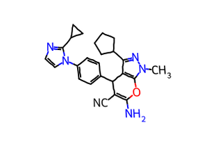 Cn1nc(C2CCCC2)c2c1OC(N)=C(C#N)C2c1ccc(-n2ccnc2C2CC2)cc1